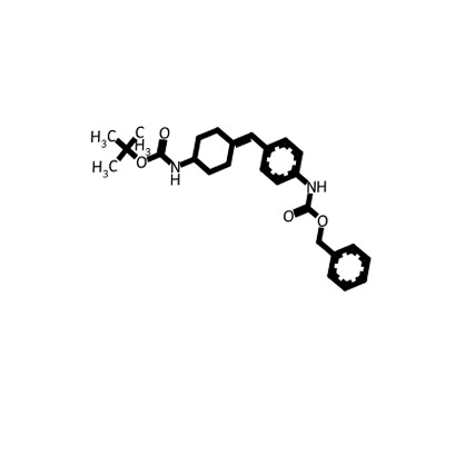 CC(C)(C)OC(=O)NC1CCC(=Cc2ccc(NC(=O)OCc3ccccc3)cc2)CC1